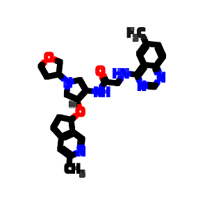 Cc1cc2c(cn1)C(O[C@H]1CN(C3CCOC3)CC1NC(=O)CNc1ncnc3ccc(C(F)(F)F)cc13)CC2